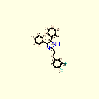 Fc1ccc(CCC2=NC(c3ccccc3)C(c3ccccc3)N2)cc1F